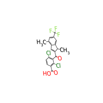 Cc1cc(C(F)(F)F)cc2c1C=C(C(=O)c1c(Cl)ccc(C(=O)O)c1Cl)C2C